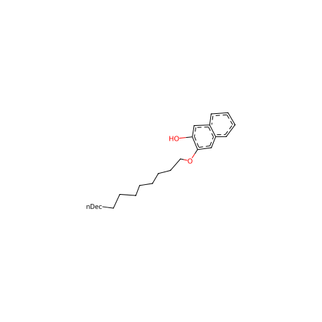 CCCCCCCCCCCCCCCCCCOc1cc2ccccc2cc1O